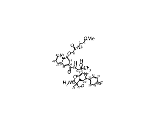 COCCNC(=O)COc1cc(C(=O)NC[C@](O)(c2cc3c(c(-c4ccc(F)cc4)n2)OC[C@]3(C)C(N)=O)C(F)(F)F)cc2cccnc12